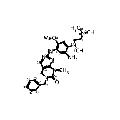 COc1cc(N(C)CCN(C)C)c(N)cc1Nc1ncc2c(n1)N(C)C(=O)N(Cc1ccccc1)C2